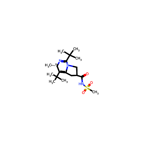 C[C@@H]1N=C(C(C)(C)C)N2CC(C(=O)NS(C)(=O)=O)CC2=C1C(C)(C)C